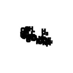 Cc1cc(-c2ncc3nc(C(F)(F)F)cc(C)c3n2)ccc1NC(=O)c1ccnn1CC(=O)O